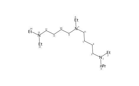 CCCN(CC)CCCCN(CC)CCCCN(CC)CC